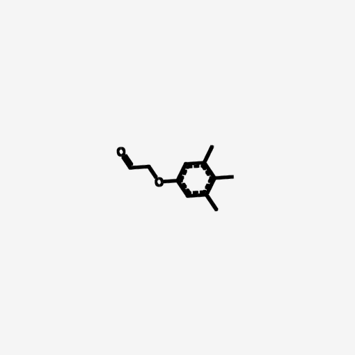 Cc1cc(OCC=O)cc(C)c1C